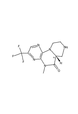 CN1C(=O)[C@H]2CNCCN2c2ncc(C(F)(F)F)nc21